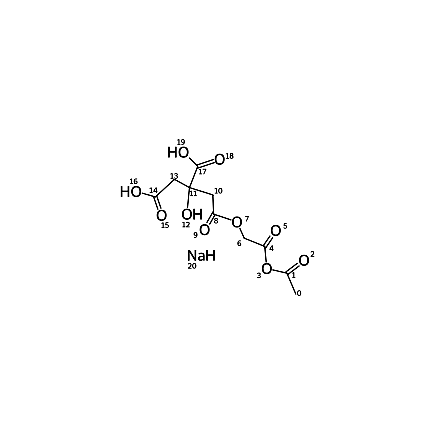 CC(=O)OC(=O)COC(=O)CC(O)(CC(=O)O)C(=O)O.[NaH]